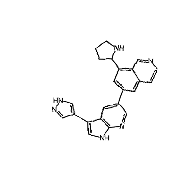 c1cc2cc(-c3cnc4[nH]cc(-c5cn[nH]c5)c4c3)cc(C3CCCN3)c2cn1